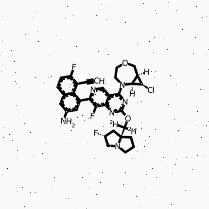 [2H]C([2H])(Oc1nc(N2CCOC[C@H]3[C@@H](Cl)[C@H]32)c2cnc(-c3cc(N)cc4ccc(F)c(C#C)c34)c(F)c2n1)[C@@]12CCCN1C[C@H](F)C2